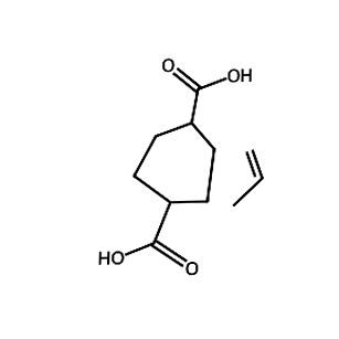 C=CC.O=C(O)C1CCC(C(=O)O)CC1